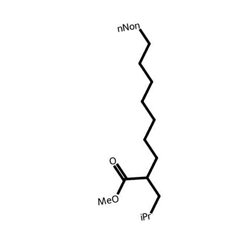 CCCCCCCCCCCCCCCCC(CC(C)C)C(=O)OC